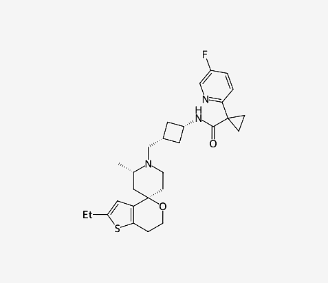 CCc1cc2c(s1)CCO[C@@]21CCN(C[C@H]2C[C@@H](NC(=O)C3(c4ccc(F)cn4)CC3)C2)[C@@H](C)C1